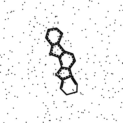 C1=c2sc3c(ccc4c5ccccc5sc43)c2=CCC1